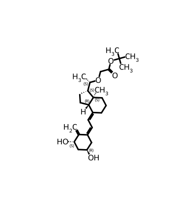 C=C1C(=CC=C2CCC[C@]3(C)[C@@H]([C@H](C)OCC(=O)OC(C)(C)C)CC[C@@H]23)C[C@@H](O)C[C@@H]1O